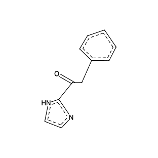 O=C(Cc1ccccc1)c1ncc[nH]1